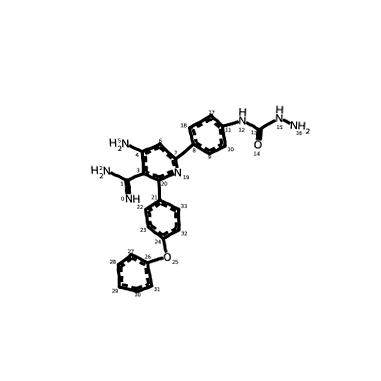 N=C(N)c1c(N)cc(-c2ccc(NC(=O)NN)cc2)nc1-c1ccc(Oc2ccccc2)cc1